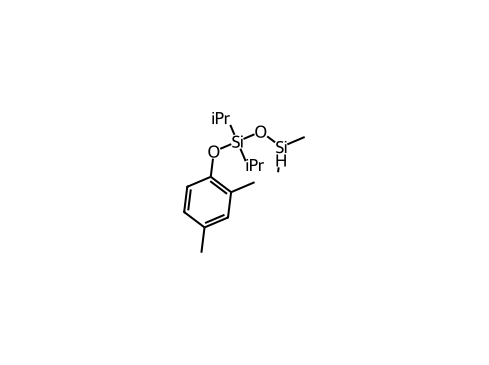 Cc1ccc(O[Si](O[SiH](C)C)(C(C)C)C(C)C)c(C)c1